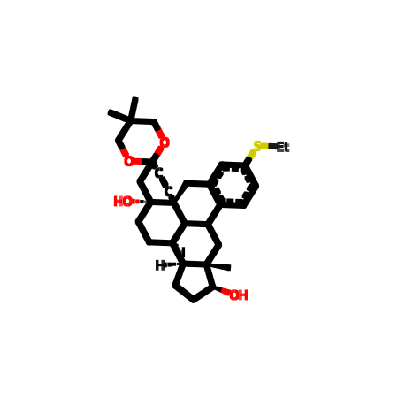 CCSc1ccc2c(c1)C[C@]13CCC4(C[C@]1(O)CC[C@@H]1C3C2C[C@]2(C)[C@@H](O)CC[C@@H]12)OCC(C)(C)CO4